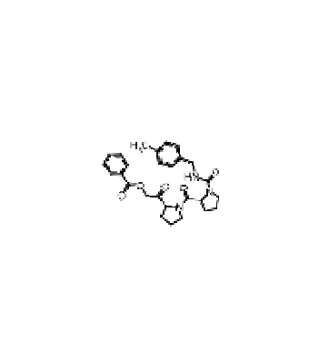 Cc1ccc(CNC(=O)N2CCC[C@H]2C(=O)N2CCC[C@H]2C(=O)COC(=O)c2ccccc2)cc1